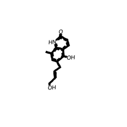 Cc1cc(CC=CCO)c(O)c2ccc(=O)[nH]c12